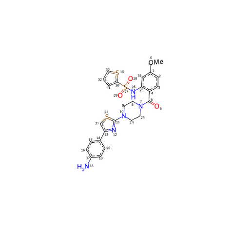 COc1ccc(C(=O)N2CCN(c3nc(-c4ccc(N)cc4)cs3)CC2)c(NS(=O)(=O)c2cccs2)c1